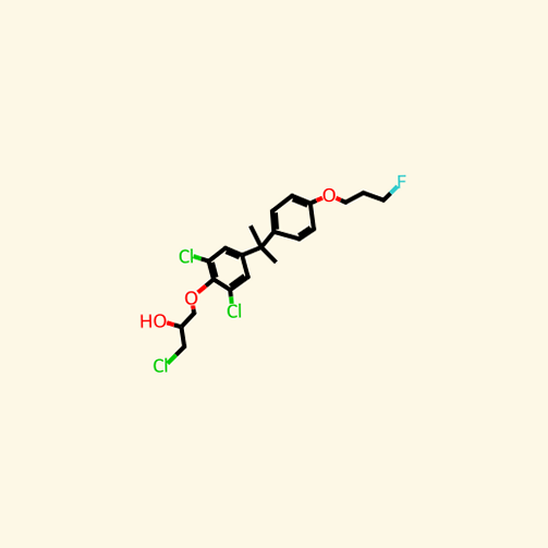 CC(C)(c1ccc(OCCCF)cc1)c1cc(Cl)c(OCC(O)CCl)c(Cl)c1